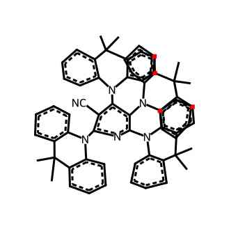 CC1(C)c2ccccc2N(c2nc(N3c4ccccc4C(C)(C)c4ccccc43)c(N3c4ccccc4C(C)(C)c4ccccc43)c(N3c4ccccc4C(C)(C)c4ccccc43)c2C#N)c2ccccc21